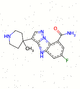 CC1(c2cnn3c2[nH]c2cc(F)cc(C(N)=O)c23)CCNCC1